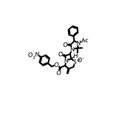 C=C1C[S+]([O-])[C@H]2C(N3C(=O)C(c4ccccc4)N(C(C)=O)C3(C)C)C(=O)N2C1C(=O)OCc1ccc([N+](=O)[O-])cc1